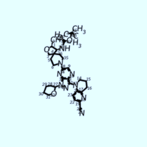 C[C@@H]1OCC2(CCN(c3cnc4c(N5CCCc6nc(C#N)ccc65)nn(C5CCCCO5)c4n3)CC2)[C@@H]1NC(=O)OC(C)(C)C